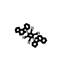 N#Cc1c(C#N)c(-n2c3ccccc3c3c4ccccc4ccc32)c(C#N)c(C#N)c1-n1c2ccccc2c2c3ccccc3ccc21